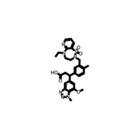 CCN1CCN(Cc2cc(C(CC(=O)O)c3cc(OC)c4c(c3)nnn4C)ccc2C)S(=O)(=O)c2cccnc21